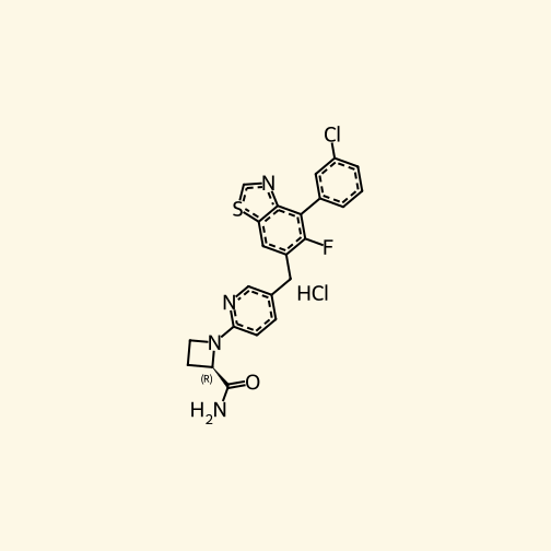 Cl.NC(=O)[C@H]1CCN1c1ccc(Cc2cc3scnc3c(-c3cccc(Cl)c3)c2F)cn1